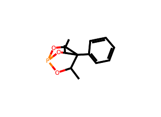 CC1OP2OC(C)C1(c1ccccc1)C(C)O2